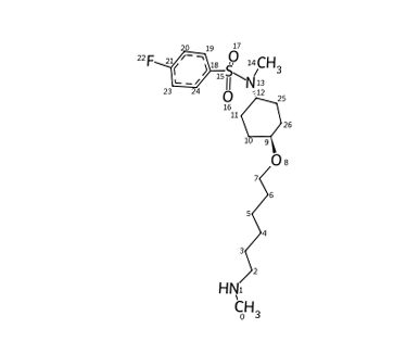 CNCCCCCCO[C@H]1CC[C@H](N(C)S(=O)(=O)c2ccc(F)cc2)CC1